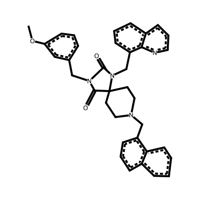 COc1cccc(CN2C(=O)N(Cc3cccc4cccnc34)C3(CCN(Cc4cccc5ccccc45)CC3)C2=O)c1